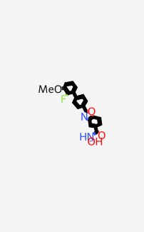 COc1cccc(-c2ccc(-c3nc4cc(C(=O)NO)ccc4o3)cc2)c1F